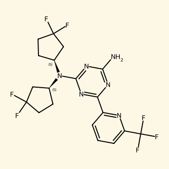 Nc1nc(-c2cccc(C(F)(F)F)n2)nc(N([C@H]2CCC(F)(F)C2)[C@H]2CCC(F)(F)C2)n1